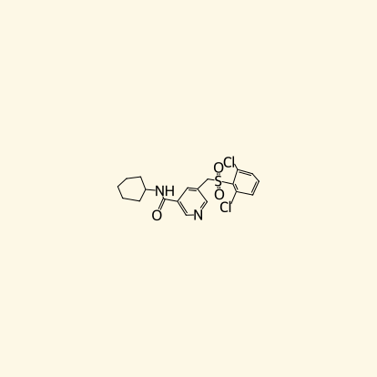 O=C(NC1CCCCC1)c1cncc(CS(=O)(=O)c2c(Cl)cccc2Cl)c1